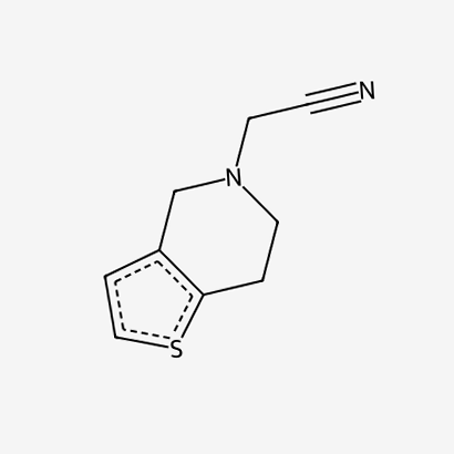 N#CCN1CCc2sccc2C1